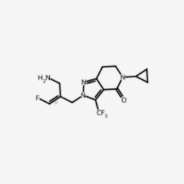 NC/C(=C\F)Cn1nc2c(c1C(F)(F)F)C(=O)N(C1CC1)CC2